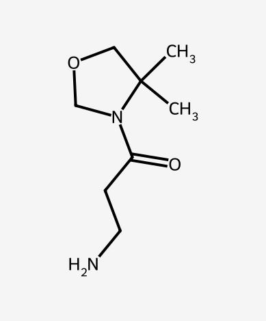 CC1(C)COCN1C(=O)CCN